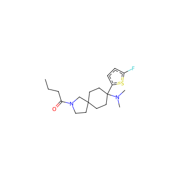 CCCC(=O)N1CCC2(CCC(c3ccc(F)s3)(N(C)C)CC2)C1